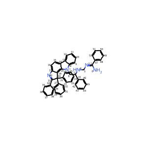 N/C(=N\CNC(Cn1c2ccccc2c2ccc3c(c21)C(c1ccccc1)(c1ccccc1)C(c1ccccc1)=N3)c1ccccc1)c1ccccc1